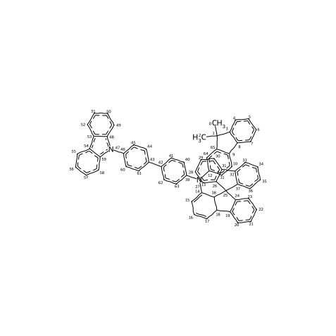 CC1(C)c2ccccc2-c2ccc(N(C3=CC=CC4c5ccccc5C5(c6ccccc6-c6ccccc65)C34)c3ccc(-c4ccc(-n5c6ccccc6c6ccccc65)cc4)cc3)cc21